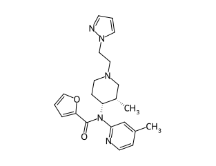 Cc1ccnc(N(C(=O)c2ccco2)[C@@H]2CCN(CCn3cccn3)C[C@@H]2C)c1